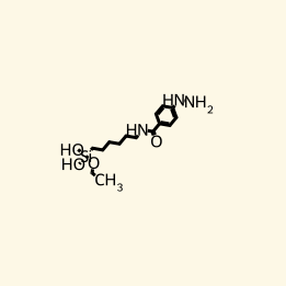 CCO[Si](O)(O)CCCCCCNC(=O)c1ccc(NN)cc1